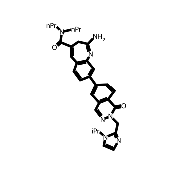 CCCN(CCC)C(=O)C1=Cc2ccc(-c3ccc4c(=O)n(Cc5nccn5C(C)C)ncc4c3)cc2N=C(N)C1